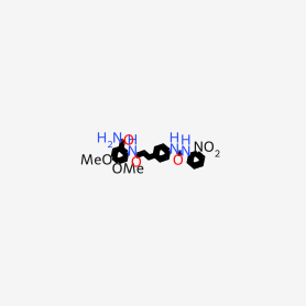 COc1cc(NC(=O)CCc2ccc(NC(=O)Nc3ccccc3[N+](=O)[O-])cc2)c(C(N)=O)cc1OC